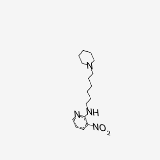 O=[N+]([O-])c1cccnc1NCCCCCCN1CCCCC1